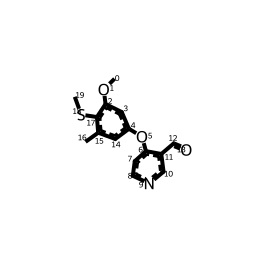 COc1cc(Oc2ccncc2C=O)cc(C)c1SC